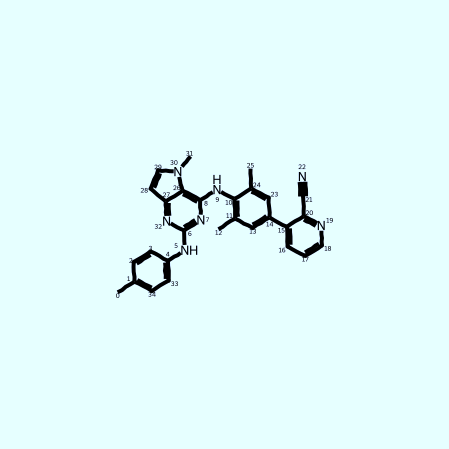 Cc1ccc(Nc2nc(Nc3c(C)cc(-c4cccnc4C#N)cc3C)c3c(ccn3C)n2)cc1